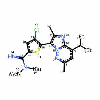 CCC(CC)c1cc(C)nn2c(-c3sc(C(=N)N(NC)C(C)(C)C)cc3Cl)c(C)nc12